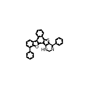 c1ccc(C2=NCNc3c2sc2c4ccccc4c4c5cccc(-c6ccccc6)c5oc4c32)cc1